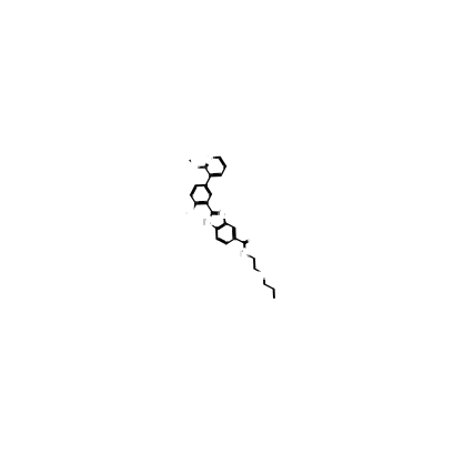 CCCOCCNC(=O)c1ccc2[nH]c(-c3cc(-c4cccnc4OC)ccc3O)nc2c1